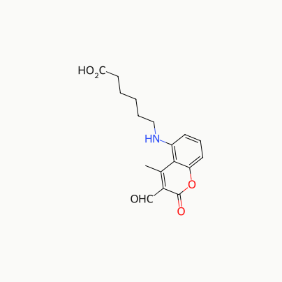 Cc1c(C=O)c(=O)oc2cccc(NCCCCCC(=O)O)c12